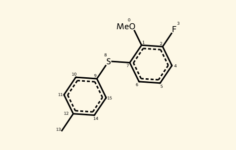 COc1c(F)cccc1Sc1ccc(C)cc1